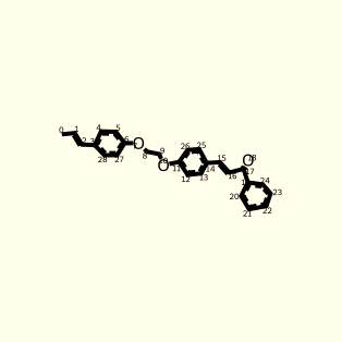 CC=Cc1ccc(OCCOc2ccc(/C=C/C(=O)c3ccccc3)cc2)cc1